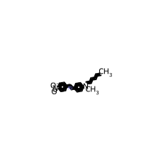 CCCCCCCN(C)c1ccc(/C=C/c2ccc([N+](=O)[O-])cc2)cc1